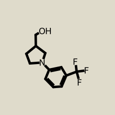 OCC1CCN(c2cccc(C(F)(F)F)c2)C1